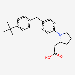 CC(C)(C)c1ccc(Cc2ccc(N3CCCC3CC(=O)O)cc2)cc1